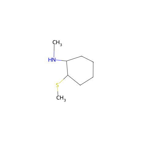 CNC1CCCCC1SC